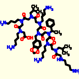 CC(C)CN(CC(=O)N(CCCCN)CC(=O)N(CC(=O)N(CC(=O)N(CCCCN)CC(=O)N(CC(=O)N(CCCCN)CC(=O)N(CCCCN)CC(=O)O)CC(C)C)Cc1ccc2c(c1)OCO2)C(C)c1ccccc1)C(=O)CNCCCCN